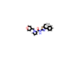 CCc1sc(NC(=O)[C@@H]2CCCN2CC2CCOCC2)nc1-c1ccccc1